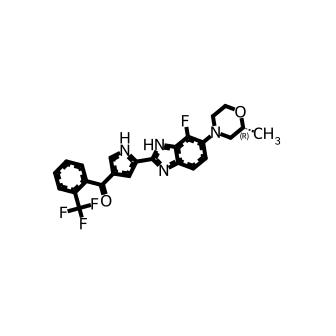 C[C@@H]1CN(c2ccc3nc(-c4cc(C(=O)c5ccccc5C(F)(F)F)c[nH]4)[nH]c3c2F)CCO1